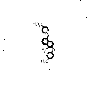 CC1CCC(Oc2ccc3c(CN4CCC(C(=O)O)CC4)cccc3c2C(F)(F)F)CC1